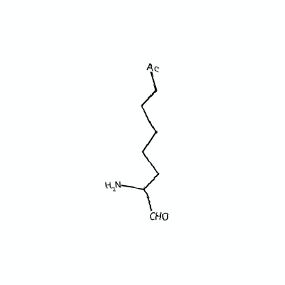 CC(=O)CCCCCC(N)C=O